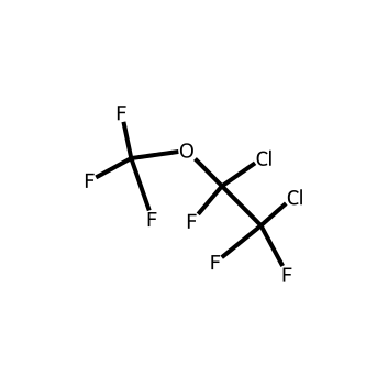 FC(F)(F)OC(F)(Cl)C(F)(F)Cl